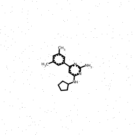 Cc1cc(C)cc(-c2cc(NC3CCCC3)nc(N)n2)c1